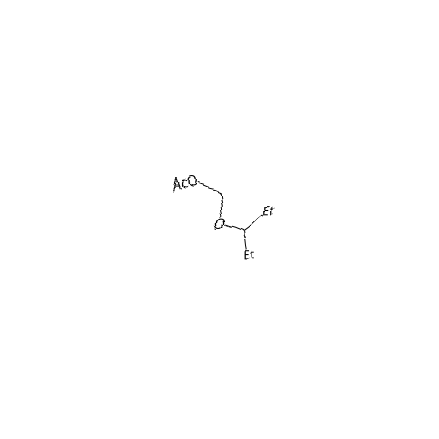 CCC(CC)OCOC(C)=O